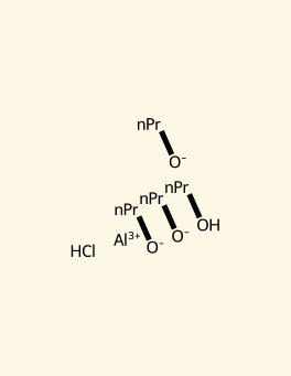 CCCO.CCC[O-].CCC[O-].CCC[O-].Cl.[Al+3]